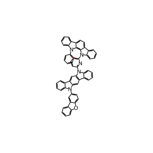 c1ccc(-n2c3ccccc3c3ccc4c5ccccc5n(-c5cccc(-n6c7ccccc7c7cc8c(cc76)c6ccccc6n8-c6ccc7oc8ccccc8c7c6)n5)c4c32)cc1